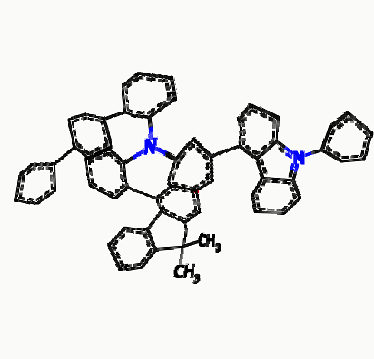 CC1(C)c2ccccc2-c2c(-c3ccccc3N(c3cccc(-c4cccc5c4c4ccccc4n5-c4ccccc4)c3)c3ccccc3-c3ccc(-c4ccccc4)cc3)cccc21